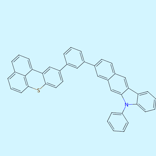 c1ccc(-n2c3ccccc3c3cc4ccc(-c5cccc(-c6ccc7c(c6)-c6cccc8cccc(c68)S7)c5)cc4cc32)cc1